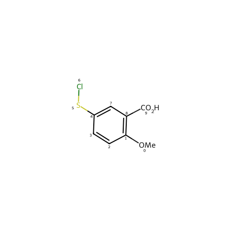 COc1ccc(SCl)cc1C(=O)O